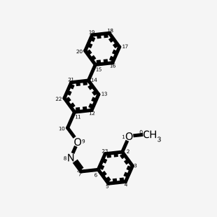 COc1cccc(/[C]=N\OCc2ccc(-c3ccccc3)cc2)c1